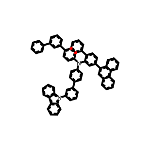 c1ccc(-c2cccc(-c3ccc(N(c4ccc(-c5cccc(-n6c7ccccc7c7ccccc76)c5)cc4)c4cc(-c5cc6ccccc6c6ccccc56)ccc4-c4ccccc4)cc3)c2)cc1